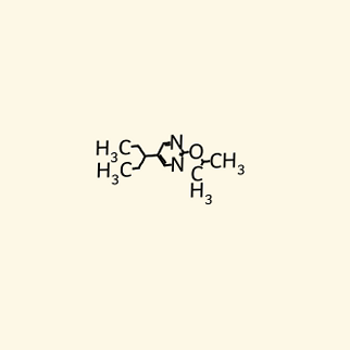 CCC(CC)c1cnc(OC(C)C)nc1